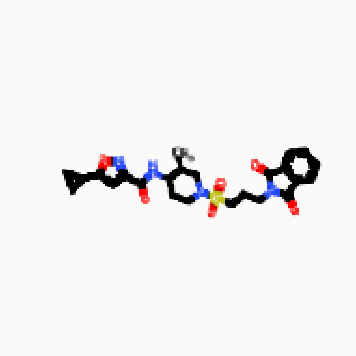 C[C@H]1CN(S(=O)(=O)CCCN2C(=O)c3ccccc3C2=O)CC[C@H]1NC(=O)c1cc(C2CC2)on1